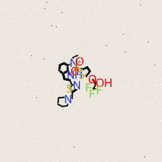 CCN(c1cccc2cc(-c3ncc(CN4CCCCC4)s3)[nH]c12)S(=O)(=O)c1cccs1.O=C(O)C(F)(F)F